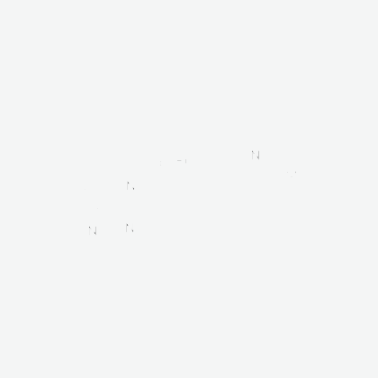 C=Cc1ccc(-c2cccc(-c3cccc(-c4ccc5c(n4)nc(C=C)n5C)c3Cl)c2CC)nc1O